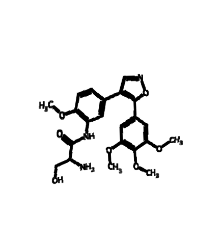 COc1ccc(-c2cnoc2-c2cc(OC)c(OC)c(OC)c2)cc1NC(=O)C(N)CO